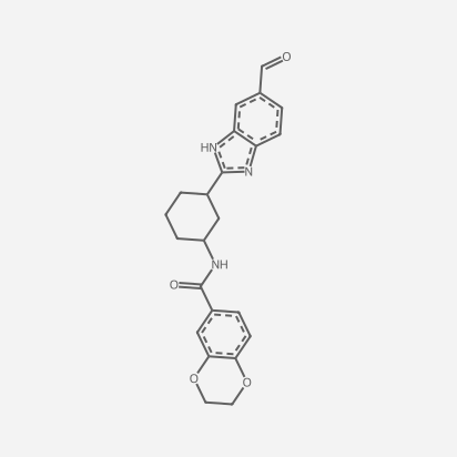 O=Cc1ccc2nc(C3CCCC(NC(=O)c4ccc5c(c4)OCCO5)C3)[nH]c2c1